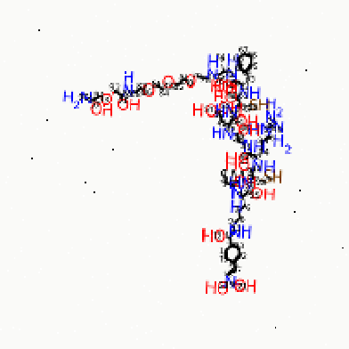 CSC[C@H](O)N[C@@H](CCCCN[C@@H](O)c1ccc(/C=C/N(O)O)cc1)[C@@H](O)N[C@@H](CS)[C@H](O)N[C@@H](CCCNC(N)N)[C@@H](O)NC[C@H](O)N[C@@H](CC(O)O)[C@@H](O)N[C@@H](CS)[C@H](O)N[C@@H](Cc1ccccc1)[C@@H](O)N[C@@H](C)[C@H](O)NCCOCCOCCOCCN[C@H](O)COC[C@@H](N)O